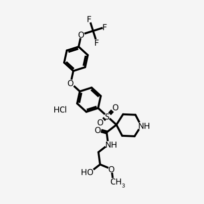 COC(O)CNC(=O)C1(S(=O)(=O)c2ccc(Oc3ccc(OC(F)(F)F)cc3)cc2)CCNCC1.Cl